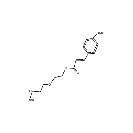 COc1ccc(/C=C/C(=O)OCCOCCNC(C)(C)C)cc1